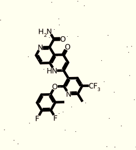 Cc1nc(Oc2ccc(F)c(F)c2C)c(-c2cc(=O)c3c(C(N)=O)nccc3[nH]2)cc1C(F)(F)F